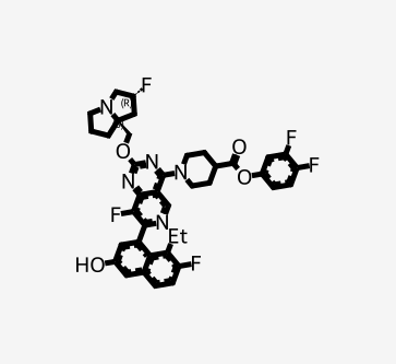 CCc1c(F)ccc2cc(O)cc(-c3ncc4c(N5CCC(C(=O)Oc6ccc(F)c(F)c6)CC5)nc(OC[C@@]56CCCN5C[C@H](F)C6)nc4c3F)c12